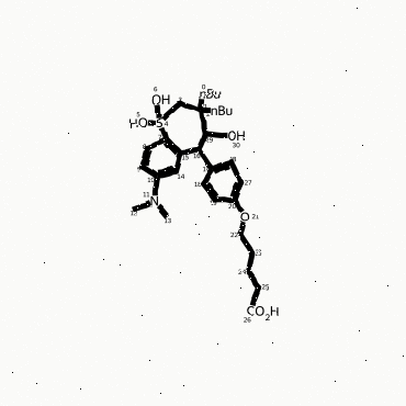 CCCCC1(CCCC)CS(O)(O)c2ccc(N(C)C)cc2C(c2ccc(OCCCCC(=O)O)cc2)C1O